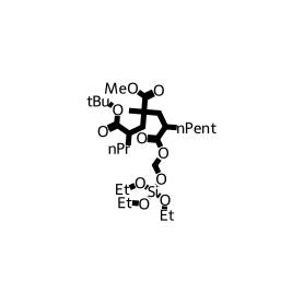 CCCCCC(CC(C)(CC(CCC)C(=O)OC(C)(C)C)C(=O)OC)C(=O)OCO[Si](OCC)(OCC)OCC